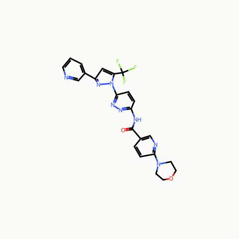 O=C(Nc1ccc(-n2nc(-c3cccnc3)cc2C(F)(F)F)nn1)c1ccc(N2CCOCC2)nc1